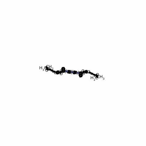 C=C(C)C(=O)OCCCCCCOc1ccc(C(=O)Oc2ccc(/N=N/c3ccc(/N=N/c4ccc(/N=N/c5ccc(OC(=O)c6ccc(OCCCCCCOC(=O)C(=C)C)cc6)c6ccccc56)cc4)cc3)c3ccccc23)cc1